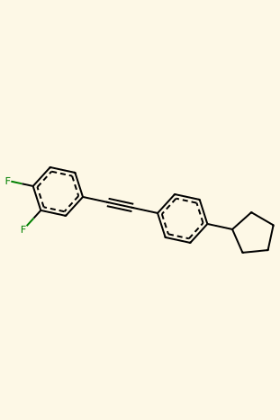 Fc1ccc(C#Cc2ccc(C3CCCC3)cc2)cc1F